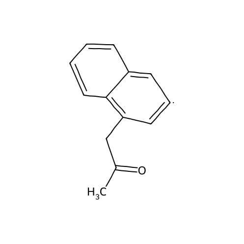 CC(=O)Cc1c[c]cc2ccccc12